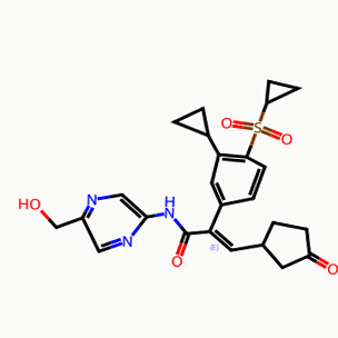 O=C1CCC(/C=C(/C(=O)Nc2cnc(CO)cn2)c2ccc(S(=O)(=O)C3CC3)c(C3CC3)c2)C1